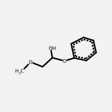 COCC(O)Oc1ccccc1